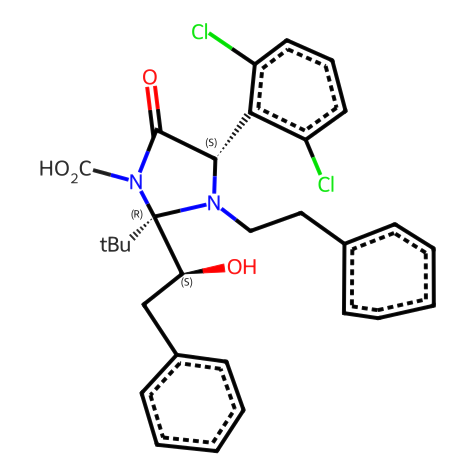 CC(C)(C)[C@]1([C@@H](O)Cc2ccccc2)N(C(=O)O)C(=O)[C@H](c2c(Cl)cccc2Cl)N1CCc1ccccc1